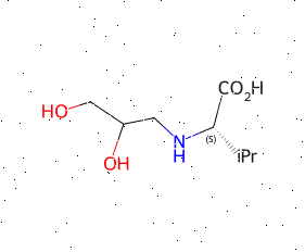 CC(C)[C@H](NCC(O)CO)C(=O)O